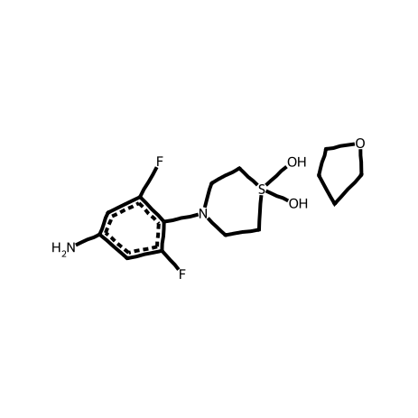 C1CCOC1.Nc1cc(F)c(N2CCS(O)(O)CC2)c(F)c1